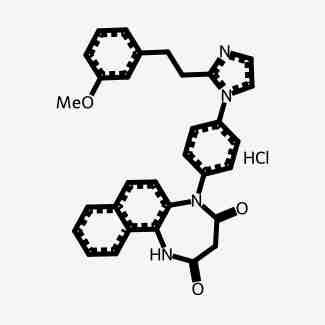 COc1cccc(CCc2nccn2-c2ccc(N3C(=O)CC(=O)Nc4c3ccc3ccccc43)cc2)c1.Cl